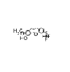 COc1cc2c(cc1O)C(=O)C(Cc1ccc(SC(F)(F)F)cc1)C2